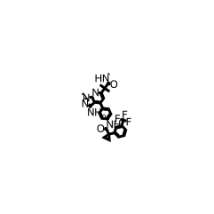 CNC(=O)C(C)(C)c1cc(-c2ccc(NC(=O)C3(c4cccc(C(F)(F)F)c4)CC3)cc2)c2c(N)nn(C)c2n1